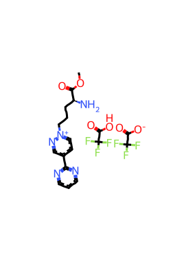 COC(=O)[C@@H](N)CCC[n+]1ccc(-c2ncccn2)cn1.O=C(O)C(F)(F)F.O=C([O-])C(F)(F)F